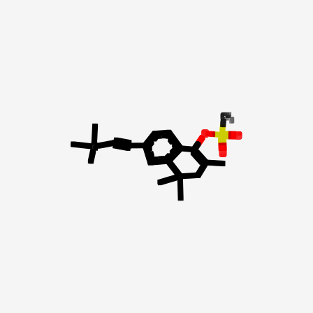 CC1=C(OS(=O)(=O)C(F)(F)F)c2ccc(C#C[Si](C)(C)C)cc2C(C)(C)C1